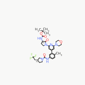 Cc1ccc(NC(=O)N2CC[C@@H](CC(F)(F)F)C2)cc1-c1cc(N2CCOCC2)nc(N2CC[C@@H](NC(=O)OC(C)(C)C)C2=O)c1